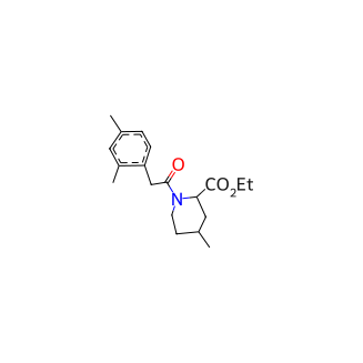 CCOC(=O)C1CC(C)CCN1C(=O)Cc1ccc(C)cc1C